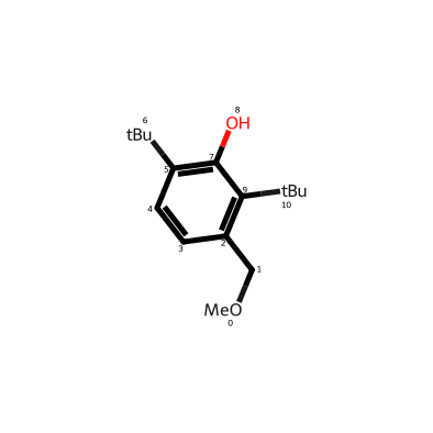 COCc1ccc(C(C)(C)C)c(O)c1C(C)(C)C